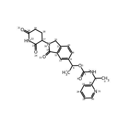 CC(NC(=O)OC(C)c1ccc2c(c1)C(=O)N(C1CCC(=O)NC1=O)C2)c1ccccn1